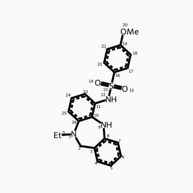 CCN1Cc2ccccc2Nc2c(NS(=O)(=O)c3ccc(OC)cc3)cccc21